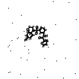 O=C(Nc1cccc(S(=O)(=O)N2CCOc3cc(F)ccc32)c1)c1ncco1